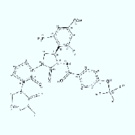 COCC(C(=O)N(C)C)n1cccc(N2C[C@@H](c3c(F)cc(OC)cc3P)[C@H](NC(=O)c3ccc(OC(C)(F)F)cc3)C2=O)c1=O